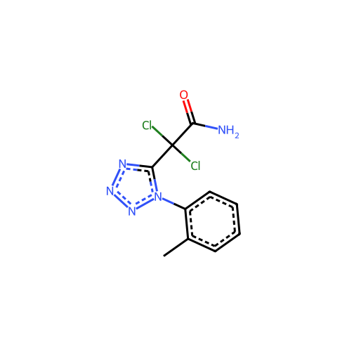 Cc1ccccc1-n1nnnc1C(Cl)(Cl)C(N)=O